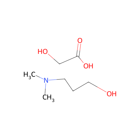 CN(C)CCCO.O=C(O)CO